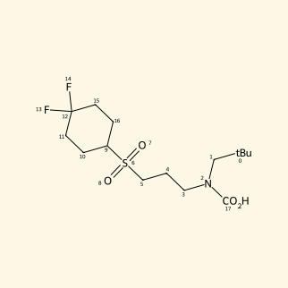 CC(C)(C)CN(CCCS(=O)(=O)C1CCC(F)(F)CC1)C(=O)O